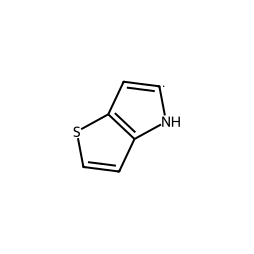 [c]1cc2sccc2[nH]1